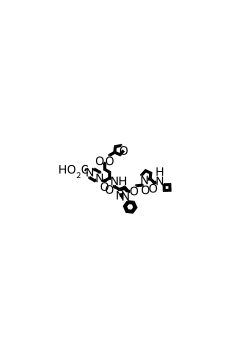 O=C(CCC(NC(=O)c1cc(OCC(=O)N2CCCC2C(=O)NC2CCC2)n(-c2ccccc2)n1)C(=O)N1CCN(C(=O)O)CC1)OCC1CCOC1